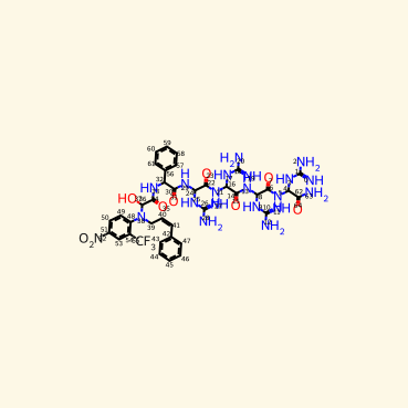 N=C(N)NC(NC(=O)C(NC(=N)N)NC(=O)C(NC(=N)N)NC(=O)C(NC(=N)N)NC(=O)C(NC(=O)C(O)N(C/C=C\c1ccccc1)c1ccc([N+](=O)[O-])cc1C(F)(F)F)c1ccccc1)C(N)=O